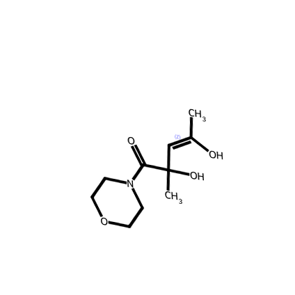 C/C(O)=C/C(C)(O)C(=O)N1CCOCC1